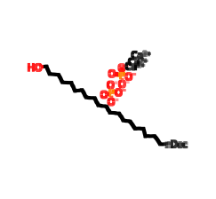 CCCCCCCCCCCCCCCCCCCCCCCCCCCCCCO.O=P([O-])([O-])[O-].O=P([O-])([O-])[O-].[Ca+2].[Ca+2].[Ca+2]